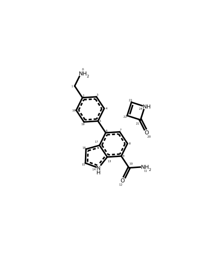 NCc1ccc(-c2ccc(C(N)=O)c3[nH]ccc23)cc1.O=C1C=CN1